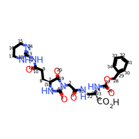 O=C(CN1C(=O)N[C@@H](CCC(=O)NC2=NCCCN2)C1=O)NC[C@H](NC(=O)OCc1ccccc1)C(=O)O